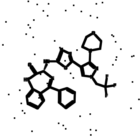 O=C1Nc2ccccc2C(c2ccccc2)=N[C@H]1Nc1nnc(-c2cn(CC(F)(F)F)nc2N2CCOCC2)o1